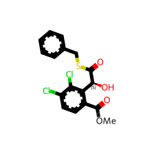 COC(=O)c1ccc(Cl)c(Cl)c1[C@H](O)C(=O)SCc1ccccc1